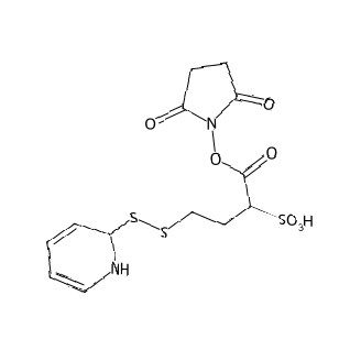 O=C(ON1C(=O)CCC1=O)C(CCSSC1C=CC=CN1)S(=O)(=O)O